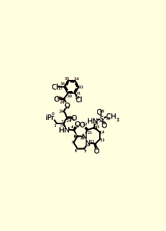 CC(C)C[C@H](NC(=O)[C@@H]1CCCN2C(=O)CC[C@H](NS(C)(=O)=O)C(=O)N12)C(=O)COC(=O)c1c(Cl)cccc1Cl